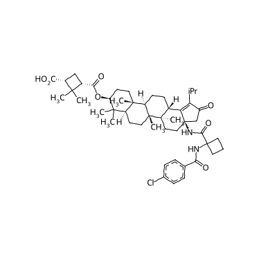 CC(C)C1=C2[C@H]3CC[C@@H]4[C@@]5(C)CC[C@H](OC(=O)[C@H]6C[C@@H](C(=O)O)C6(C)C)C(C)(C)[C@@H]5CC[C@@]4(C)[C@]3(C)CC[C@@]2(NC(=O)C2(NC(=O)c3ccc(Cl)cc3)CCC2)CC1=O